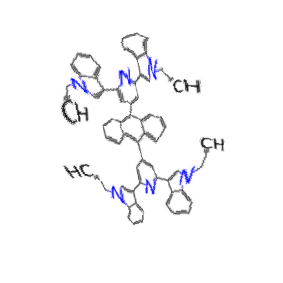 C#CCn1cc(-c2cc(-c3c4ccccc4c(-c4cc(-c5cn(CC#C)c6ccccc56)nc(-c5cn(CC#C)c6ccccc56)c4)c4ccccc34)cc(-c3cn(CC#C)c4ccccc34)n2)c2ccccc21